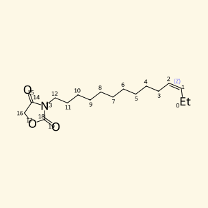 CC/C=C\CCCCCCCCCCN1C(=O)COC1=O